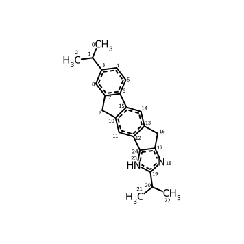 CC(C)c1ccc2c(c1)Cc1cc3c(cc1-2)Cc1nc(C(C)C)[nH]c1-3